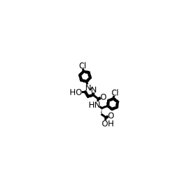 O=C(O)C[C@H](NC(=O)c1cc(O)n(-c2ccc(Cl)cc2)n1)c1cccc(Cl)c1